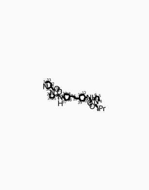 CC(C)C(=O)N1CCC[C@H]1C(=O)Nc1ccc(/C=C/c2ccc(NC(=O)[C@@H]3CCCN3C(=O)c3cccnc3)cc2)cc1